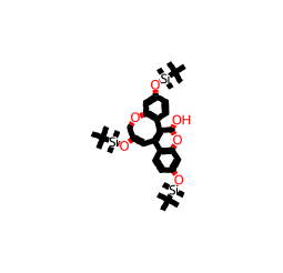 CC(C)(C)[Si](C)(C)O/C1=C/C2=C(c3ccc(O[Si](C)(C)C(C)(C)C)cc3OC1)C(O)Oc1cc(O[Si](C)(C)C(C)(C)C)ccc12